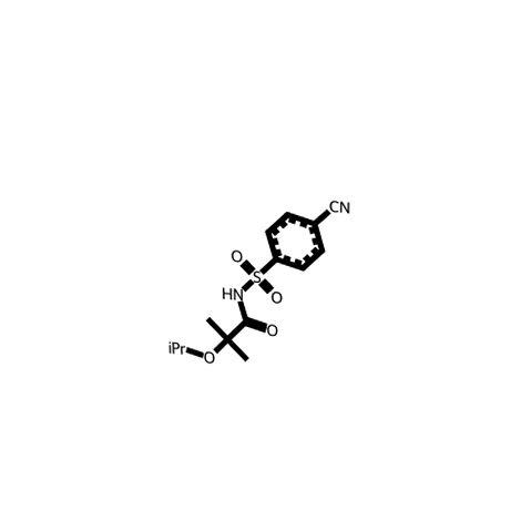 CC(C)OC(C)(C)C(=O)NS(=O)(=O)c1ccc(C#N)cc1